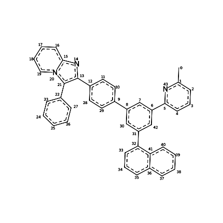 Cc1cccc(-c2cc(-c3ccc(-c4nc5ccccn5c4-c4ccccc4)cc3)cc(-c3cccc4ccccc34)c2)n1